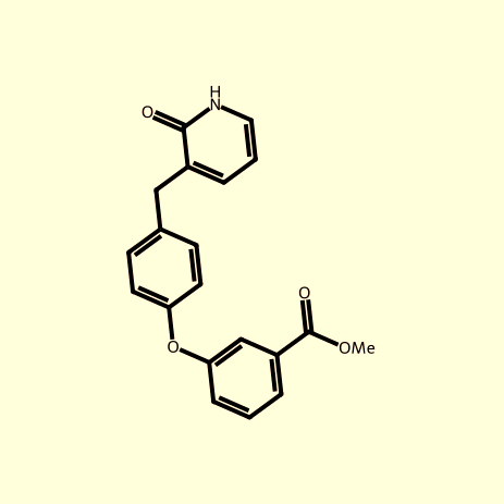 COC(=O)c1cccc(Oc2ccc(Cc3ccc[nH]c3=O)cc2)c1